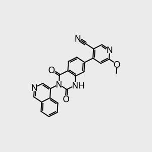 COc1cc(-c2ccc3c(=O)n(-c4cncc5ccccc45)c(=O)[nH]c3c2)c(C#N)cn1